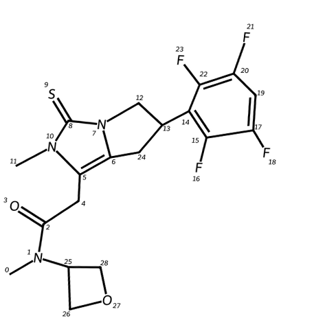 CN(C(=O)Cc1c2n(c(=S)n1C)CC(c1c(F)c(F)cc(F)c1F)C2)C1COC1